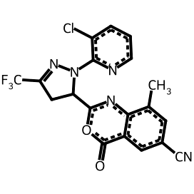 Cc1cc(C#N)cc2c(=O)oc(C3CC(C(F)(F)F)=NN3c3ncccc3Cl)nc12